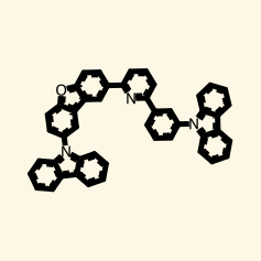 c1cc(-c2cccc(-c3ccc4oc5ccc(-n6c7ccccc7c7ccccc76)cc5c4c3)n2)cc(-n2c3ccccc3c3ccccc32)c1